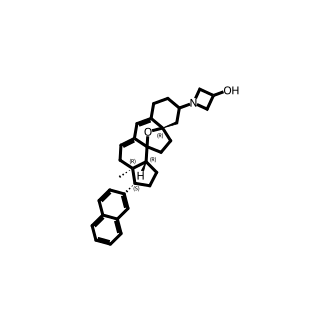 C[C@]12CC=C3C=C4CCC(N5CC(O)C5)C[C@]45CCC3(O5)[C@@H]1CC[C@@H]2c1ccc2ccccc2c1